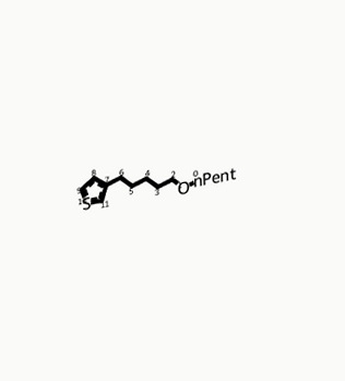 [CH2]CCCCOCCCCCc1ccsc1